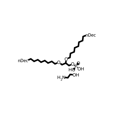 CCCCCCCCCCCCCCCCCCOCC(COP(=O)(O)O)OCCCCCCCCCCCCCCCCCC.NCCO